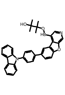 CC(C)(O)C(C)(C)OBc1cncc2oc3ccc(-c4ccc(-n5c6ccccc6c6ccccc65)cc4)cc3c12